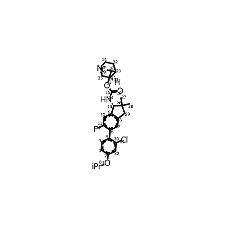 CC(C)Oc1ccc(-c2cc3c(cc2F)[C@H](NC(=O)O[C@H]2CN4CCC2CC4)C(C)(C)C3)c(Cl)c1